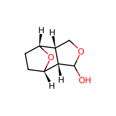 OC1OC[C@@H]2[C@H]1[C@@H]1CC[C@H]2O1